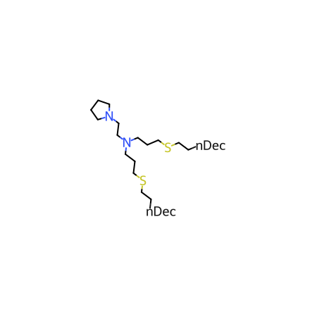 CCCCCCCCCCCCSCCCN(CCCSCCCCCCCCCCCC)CCN1CCCC1